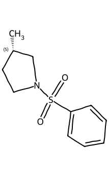 C[C@H]1CCN(S(=O)(=O)c2ccccc2)C1